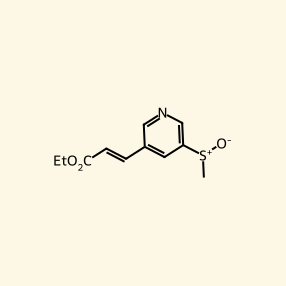 CCOC(=O)/C=C/c1cncc([S+](C)[O-])c1